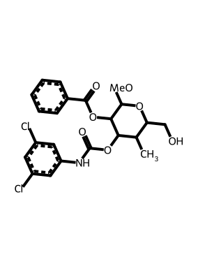 COC1OC(CO)C(C)C(OC(=O)Nc2cc(Cl)cc(Cl)c2)C1OC(=O)c1ccccc1